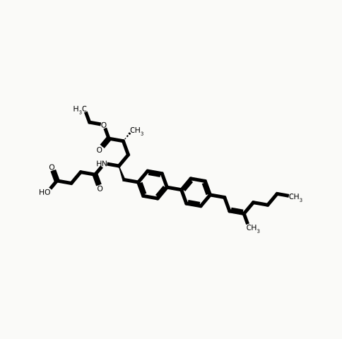 CCCC/C(C)=C\Cc1ccc(-c2ccc(C[C@H](C[C@@H](C)C(=O)OCC)NC(=O)CCC(=O)O)cc2)cc1